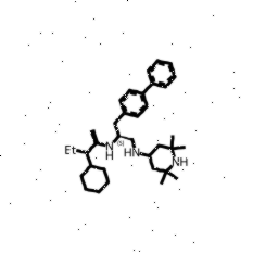 C=C(N[C@H](CNC1CC(C)(C)NC(C)(C)C1)Cc1ccc(-c2ccccc2)cc1)C(CC)C1CCCCC1